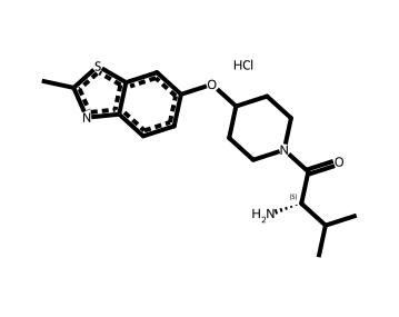 Cc1nc2ccc(OC3CCN(C(=O)[C@@H](N)C(C)C)CC3)cc2s1.Cl